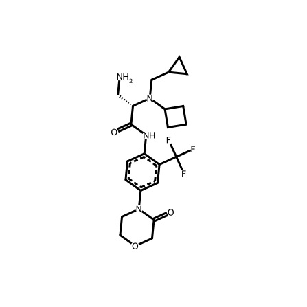 NC[C@@H](C(=O)Nc1ccc(N2CCOCC2=O)cc1C(F)(F)F)N(CC1CC1)C1CCC1